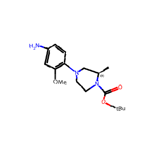 COc1cc(N)ccc1N1CCN(C(=O)OC(C)(C)C)[C@H](C)C1